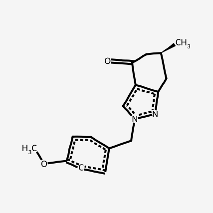 COc1ccc(Cn2cc3c(n2)C[C@H](C)CC3=O)cc1